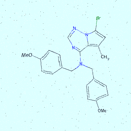 COc1ccc(CN(Cc2ccc(OC)cc2)c2ncnn3c(Br)cc(C)c23)cc1